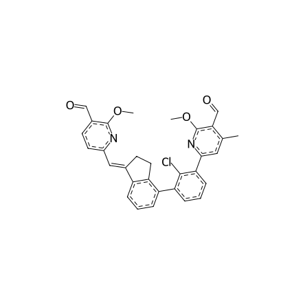 COc1nc(/C=C2\CCc3c2cccc3-c2cccc(-c3cc(C)c(C=O)c(OC)n3)c2Cl)ccc1C=O